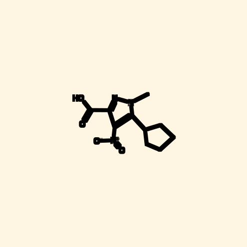 Cn1nc(C(=O)O)c([N+](=O)[O-])c1C1CCCC1